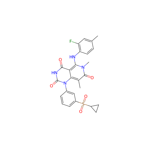 Cc1ccc(Nc2c3c(=O)[nH]c(=O)n(-c4cccc(S(=O)(=O)C5CC5)c4)c3c(C)c(=O)n2C)c(F)c1